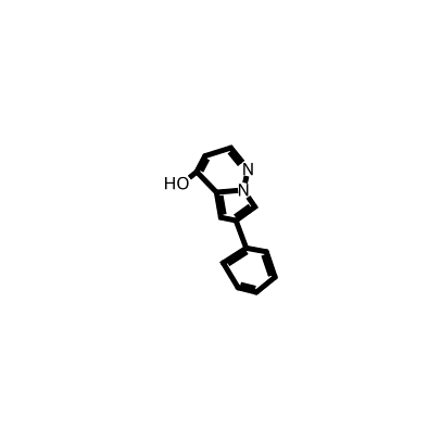 Oc1ccnn2cc(-c3ccccc3)cc12